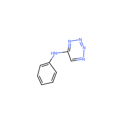 c1ccc(Nc2cnnnn2)cc1